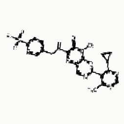 CCn1c(=O)c(NCc2ccc(S(=O)(=O)CC)nc2)nc2cnc(-c3c(C)ncnc3C3CC3)nc21